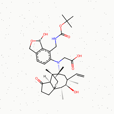 C=C[C@]1(C)C[C@@H](N(CC(=O)O)c2ccc3c(c2CNC(=O)OC(C)(C)C)B(O)OC3)[C@]2(C)[C@H](C)CC[C@]3(CCC(=O)[C@H]32)[C@@H](C)[C@@H]1O